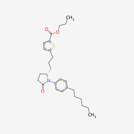 CCCCCCc1ccc(N2C(=O)CC[C@@H]2CCCc2ccc(C(=O)OCCC)s2)cc1